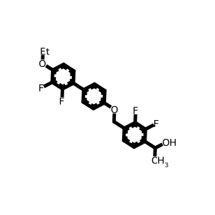 CCOc1ccc(-c2ccc(OCc3ccc(C(C)O)c(F)c3F)cc2)c(F)c1F